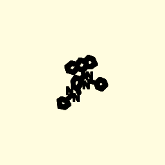 c1ccc(-c2ncc3c(ccc4c(-c5c6ccccc6cc6ccccc56)nc(-c5ccccc5)nc43)n2)cc1